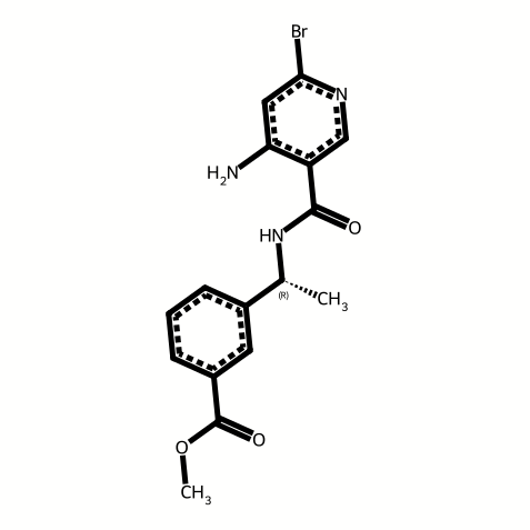 COC(=O)c1cccc([C@@H](C)NC(=O)c2cnc(Br)cc2N)c1